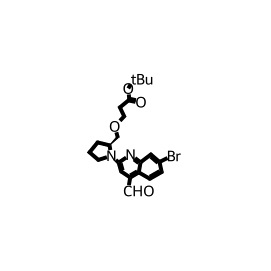 CC(C)(C)OC(=O)CCOC[C@@H]1CCCN1c1cc(C=O)c2ccc(Br)cc2n1